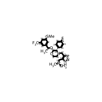 CSc1cc([C@@H](C)O[C@H]2OCCN(Cc3nn[nH]c3CN(C)C)[C@H]2c2ccc(F)cc2)cc(C(F)(F)F)c1